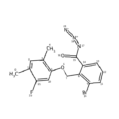 Cc1cc(C)c(OCc2c(Br)cccc2C(=O)N=[N+]=[N-])cc1F